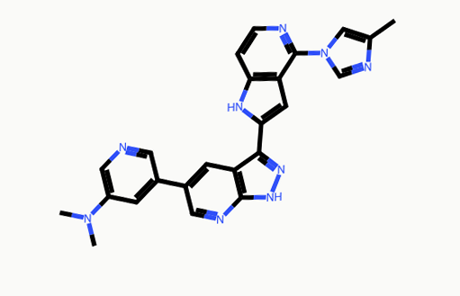 Cc1cn(-c2nccc3[nH]c(-c4n[nH]c5ncc(-c6cncc(N(C)C)c6)cc45)cc23)cn1